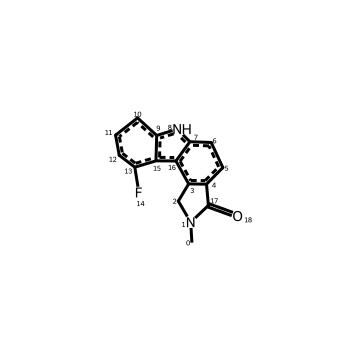 CN1Cc2c(ccc3[nH]c4cccc(F)c4c23)C1=O